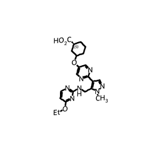 CCOc1ccnc(NCc2c(-c3ncc(OC4CCC[C@H](C(=O)O)C4)cn3)cnn2C)n1